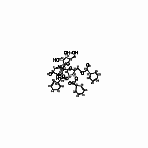 O=C1C=N[N+]([C@@H]2O[C@H](CO)[C@@H](O)[C@H]2O)([C@H]2O[C@@H](COC(=O)c3ccccc3)[C@H](OC(=O)c3ccccc3)[C@@H]2OC(=O)c2ccccc2)C(=O)N1